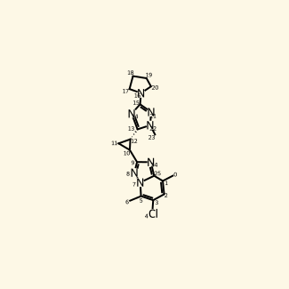 Cc1cc(Cl)c(C)n2nc(C3C[C@@H]3c3nc(N4CCCC4)nn3C)nc12